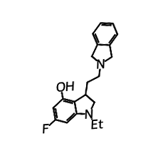 CCN1CC(CCN2Cc3ccccc3C2)c2c(O)cc(F)cc21